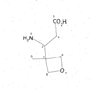 CC1(C(N)CC(=O)O)COC1